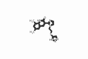 Cc1cc(C)c2[nH]c(=O)c(-c3nccn3CCSc3cnn[nH]3)cc2c1